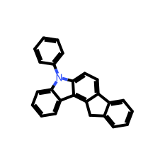 c1ccc(-n2c3ccccc3c3c4c(ccc32)-c2ccccc2C4)cc1